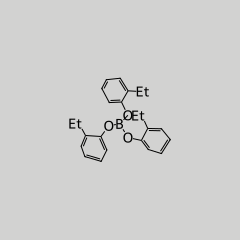 CCc1ccccc1OB(Oc1ccccc1CC)Oc1ccccc1CC